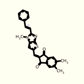 Cc1cc2c(cc1C)C(=O)C(=Cc1cc3c(nc(/C=C/c4ccccc4)n3C)s1)C2=O